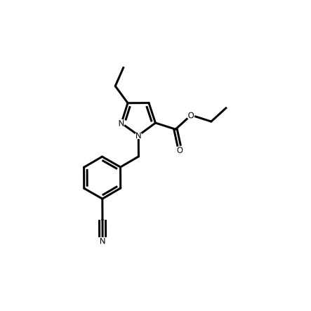 CCOC(=O)c1cc(CC)nn1Cc1cccc(C#N)c1